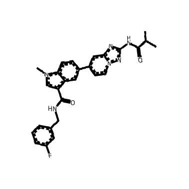 CC(C)C(=O)Nc1nc2cc(-c3ccc4c(c3)c(C(=O)NCc3cccc(F)c3)cn4C)ccn2n1